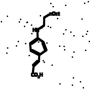 CCCCCCCCCCNc1ccc(C=CC(=O)O)cc1